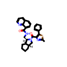 Cc1nc(C(=O)N2C[C@@H]3CCCC[C@@H]3[C@H]2CNC(=O)c2cccc3cccnc23)c(-c2ccccc2)s1